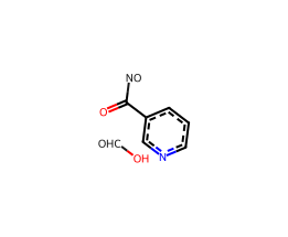 O=CO.O=NC(=O)c1cccnc1